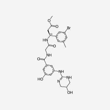 COC(=O)C[C@H](NC(=O)CNC(=O)c1cc(O)cc(NC2=NCC(O)CN2)c1)c1cc(C)cc(Br)c1